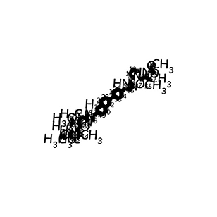 COC(=O)N[C@H](C(=O)N1CCC[C@H]1c1ncc(-c2ccc(-c3ccc4cc(-c5cnc([C@H](C)N(C(=O)[C@@H](NC(=O)OC)C(C)C)C(C)C)[nH]5)ccc4c3)cc2)[nH]1)C(C)C